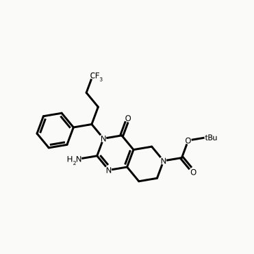 CC(C)(C)OC(=O)N1CCc2nc(N)n(C(CCC(F)(F)F)c3ccccc3)c(=O)c2C1